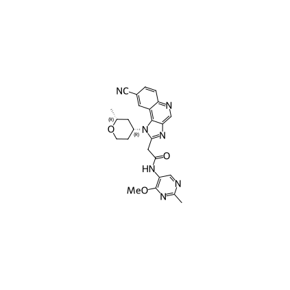 COc1nc(C)ncc1NC(=O)Cc1nc2cnc3ccc(C#N)cc3c2n1[C@@H]1CCO[C@H](C)C1